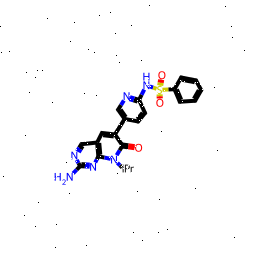 CC(C)n1c(=O)c(-c2ccc(NS(=O)(=O)c3ccccc3)nc2)cc2cnc(N)nc21